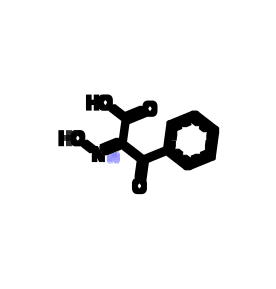 O=C(O)/C(=N\O)C(=O)c1ccccc1